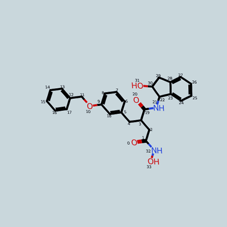 O=C(CC(Cc1cccc(OCc2ccccc2)c1)C(=O)NC1c2ccccc2CC1O)NO